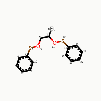 CCC(COSc1ccccc1)OSc1ccccc1